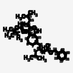 CC(C)C[C@H](CN1CCCC(NC(=O)[C@H](CC(C)C)NC(=O)OC(C)(C)C)C(O)C1)NC(=O)OCc1ccccc1